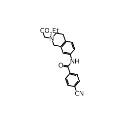 CCOC(=O)CN1CCc2ccc(NC(=O)c3ccc(C#N)cc3)cc2C1